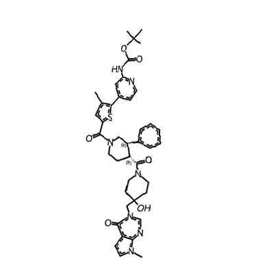 Cc1cc(C(=O)N2CC[C@@H](C(=O)N3CCC(O)(Cn4cnc5c(ccn5C)c4=O)CC3)[C@H](c3ccccc3)C2)sc1-c1ccnc(NC(=O)OC(C)(C)C)c1